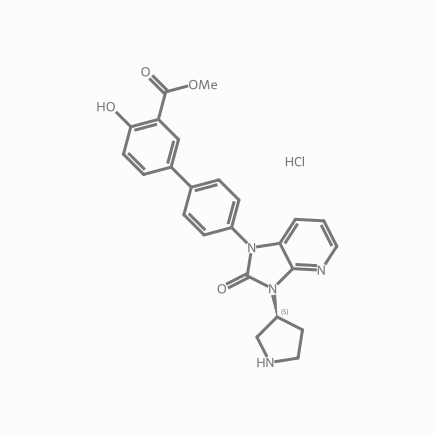 COC(=O)c1cc(-c2ccc(-n3c(=O)n([C@H]4CCNC4)c4ncccc43)cc2)ccc1O.Cl